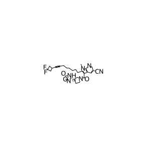 Cn1c(CCCCCCC#CC2CC(F)(F)C2)c(C(=O)N2CC[C@H](c3noc(=O)[nH]3)C2)c2cc(C#N)cnc21